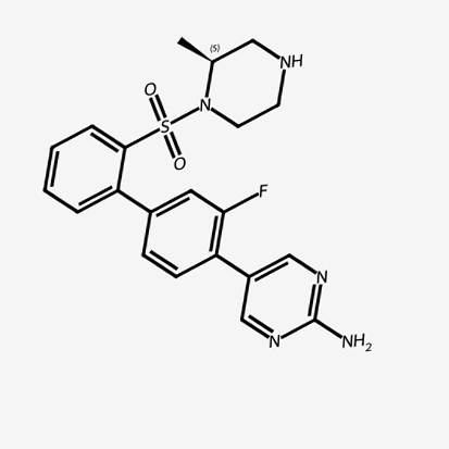 C[C@H]1CNCCN1S(=O)(=O)c1ccccc1-c1ccc(-c2cnc(N)nc2)c(F)c1